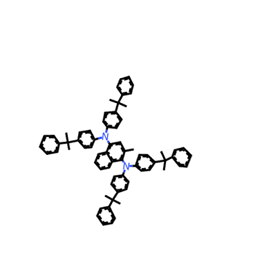 Cc1cc(N(c2ccc(C(C)(C)c3ccccc3)cc2)c2ccc(C(C)(C)c3ccccc3)cc2)c2ccccc2c1N(c1ccc(C(C)(C)c2ccccc2)cc1)c1ccc(C(C)(C)c2ccccc2)cc1